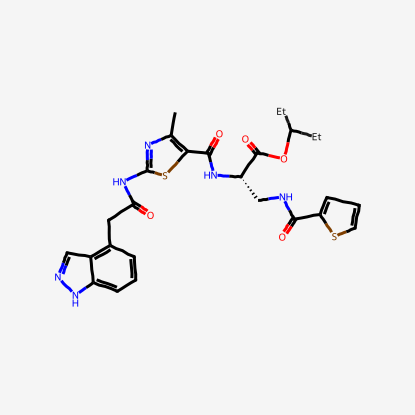 CCC(CC)OC(=O)[C@H](CNC(=O)c1cccs1)NC(=O)c1sc(NC(=O)Cc2cccc3[nH]ncc23)nc1C